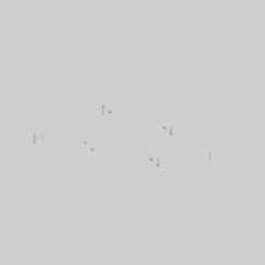 CC1=NC2=Cc3nc(C)c(C)nc3CC2=N1